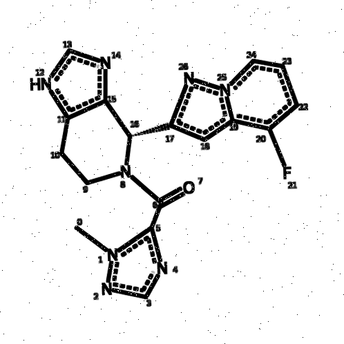 Cn1ncnc1C(=O)N1CCc2[nH]cnc2[C@@H]1c1cc2c(F)cccn2n1